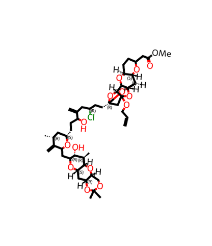 C=CCOC12C[C@]3(CC[C@@H](Cl)CC(=C)C(O)CC[C@H]4C[C@@H](C)C(=C)C(CC5O[C@H]6C[C@H]7OC(C)(C)OC[C@H]7O[C@H]6[C@H](C)[C@H]5O)O4)O[C@H]4[C@H]5OC(CC(=O)OC)CC[C@@H]5OC([C@H]4O1)[C@@H]2O3